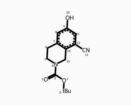 CC(C)(C)OC(=O)N1CCc2cc(O)cc(C#N)c2C1